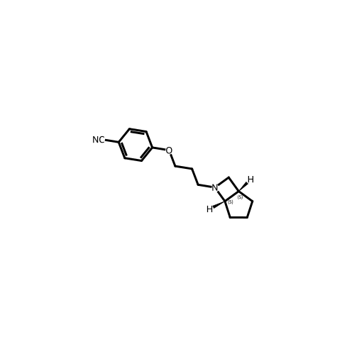 N#Cc1ccc(OCCCN2C[C@@H]3CCC[C@@H]32)cc1